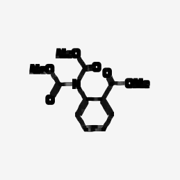 COC(=O)c1ccccc1N(C(=O)OC)C(=O)OC